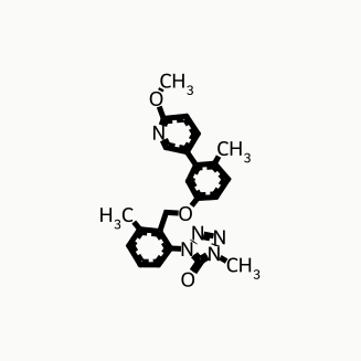 COc1ccc(-c2cc(OCc3c(C)cccc3-n3nnn(C)c3=O)ccc2C)cn1